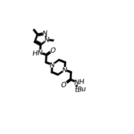 Cc1cc(NC(=O)CN2CCN(CC(=O)NC(C)(C)C)CC2)n(C)n1